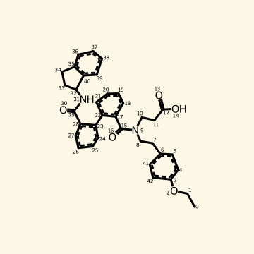 CCOc1ccc(CCN(CCC(=O)O)C(=O)c2ccccc2-c2ccccc2C(=O)NC2CCc3ccccc32)cc1